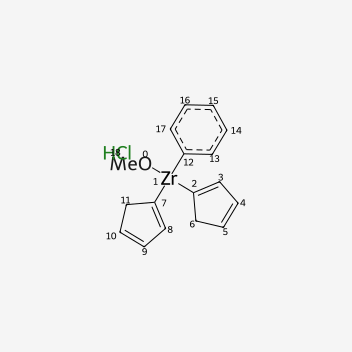 C[O][Zr]([C]1=CC=CC1)([C]1=CC=CC1)[c]1ccccc1.Cl